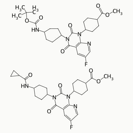 COC(=O)C1CCC(n2c(=O)n(C3CCC(NC(=O)C4CC4)CC3)c(=O)c3cc(F)cnc32)CC1.COC(=O)C1CCC(n2c(=O)n(C3CCC(NC(=O)OC(C)(C)C)CC3)c(=O)c3cc(F)cnc32)CC1